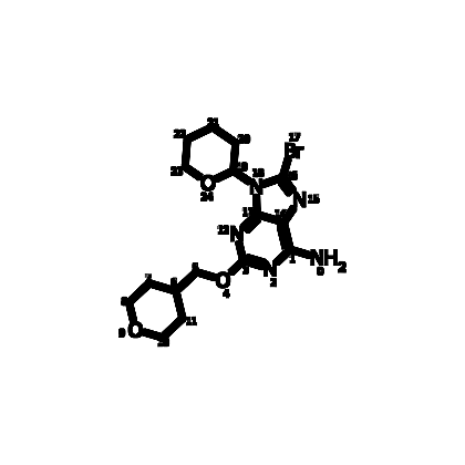 Nc1nc(OCC2CCOCC2)nc2c1nc(Br)n2C1CCCCO1